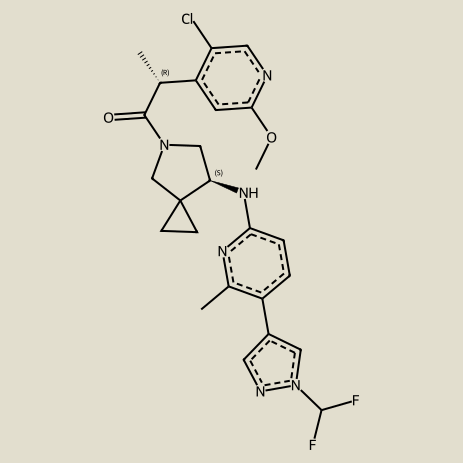 COc1cc([C@@H](C)C(=O)N2C[C@@H](Nc3ccc(-c4cnn(C(F)F)c4)c(C)n3)C3(CC3)C2)c(Cl)cn1